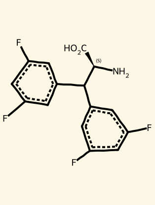 N[C@H](C(=O)O)C(c1cc(F)cc(F)c1)c1cc(F)cc(F)c1